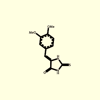 COc1ccc(/C=C2\NC(=S)NC2=O)cc1OC